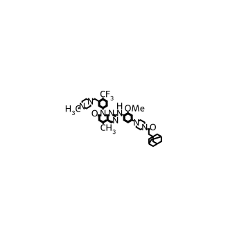 COc1cc(N2CCN(C(=O)CC34CC5CC(CC(C5)C3)C4)CC2)ccc1Nc1ncc2c(C)cc(=O)n(-c3ccc(C(F)(F)F)c(CN4CCN(C)CC4)c3)c2n1